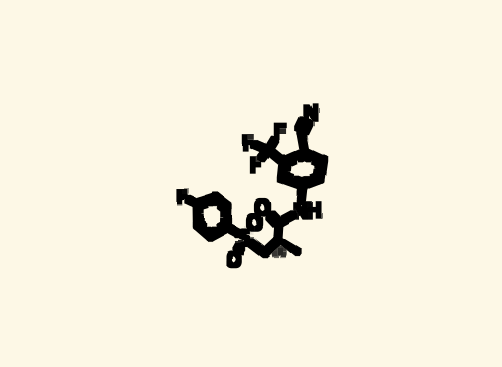 C[C@@H](CS(=O)(=O)c1ccc(F)cc1)C(=O)Nc1ccc(C#N)c(C(F)(F)F)c1